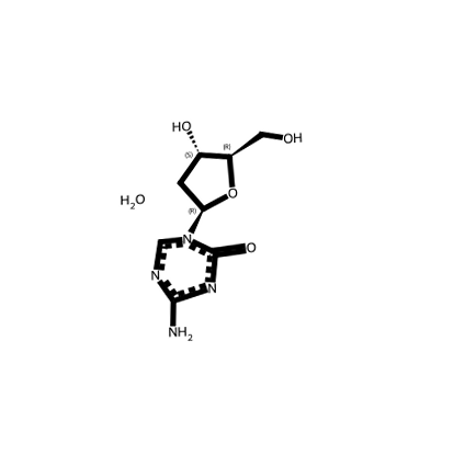 Nc1ncn([C@H]2C[C@H](O)[C@@H](CO)O2)c(=O)n1.O